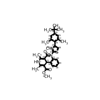 COC(=O)C1=C(C)NC(C)=C(C(=O)OC)C1c1ccccc1Nc1nc(-c2c(C)cc(C(C)(C)C)cc2C)cs1